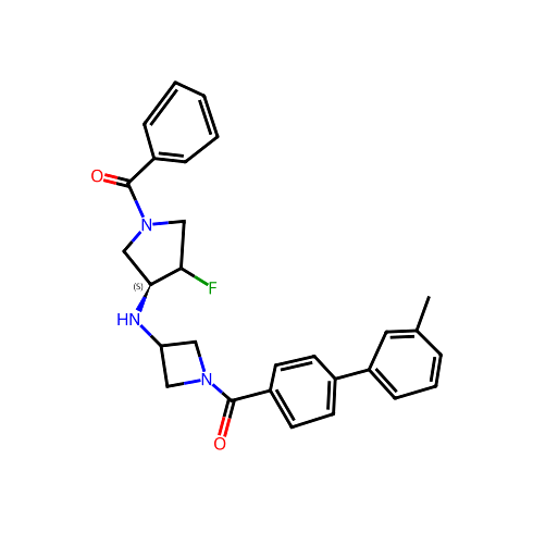 Cc1cccc(-c2ccc(C(=O)N3CC(N[C@H]4CN(C(=O)c5ccccc5)CC4F)C3)cc2)c1